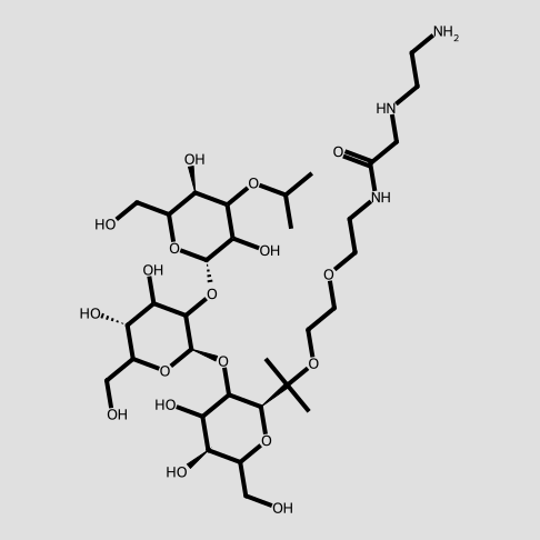 CC(C)OC1C(O)[C@H](OC2C(O)[C@@H](O)C(CO)O[C@@H]2OC2C(O)[C@H](O)C(CO)O[C@@H]2C(C)(C)OCCOCCNC(=O)CNCCN)OC(CO)[C@H]1O